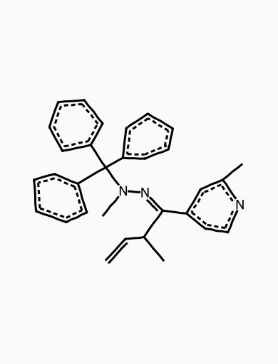 C=CC(C)/C(=N\N(C)C(c1ccccc1)(c1ccccc1)c1ccccc1)c1ccnc(C)c1